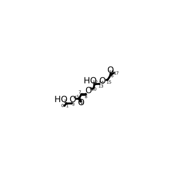 CC(O)COC(=O)C=COCC(O)COCC1CO1